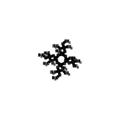 CO[Si](C)(OC)O[Si]1(C)O[Si](C)(O[Si](C)(C)C)O[Si](C)(O[Si](C)(OC)OC)O[Si](C)(O[Si](C)(OC)OC)O1